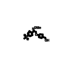 CO/N=C(\COc1ccc(CO)cc1)c1ccc(S(C)(=O)=O)cc1